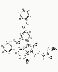 CC(C)(C)OC(=O)NCCn1c(=O)n(-c2ccc(OCc3ccccc3)nc2OCc2ccccc2)c2cccc(Br)c21